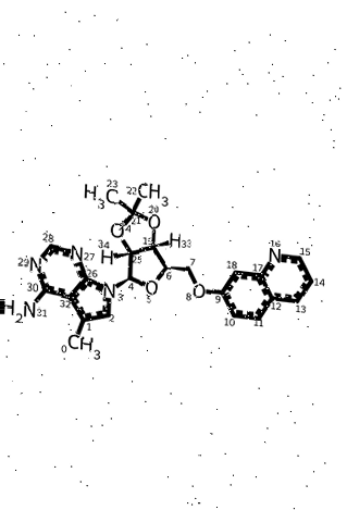 Cc1cn([C@@H]2O[C@H](COc3ccc4cccnc4c3)[C@H]3OC(C)(C)O[C@H]32)c2ncnc(N)c12